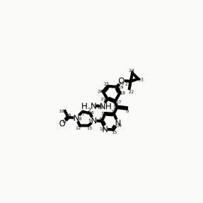 C=C(c1cc(N2CCN(C(C)=O)CC2)ncn1)c1cc(OC2(C)CC2)ccc1NN